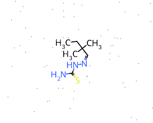 CCC(C)(C)/C=N\NC(N)=S